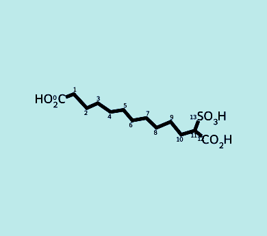 O=C(O)CCCCCCCCCCC(C(=O)O)S(=O)(=O)O